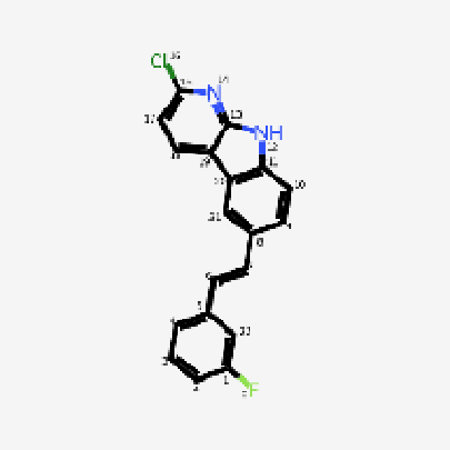 Fc1cccc(C=Cc2ccc3[nH]c4nc(Cl)ccc4c3c2)c1